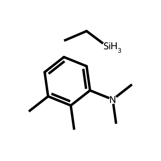 CC[SiH3].Cc1cccc(N(C)C)c1C